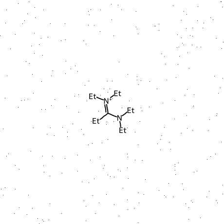 CCC(N(CC)CC)=[N+](CC)CC